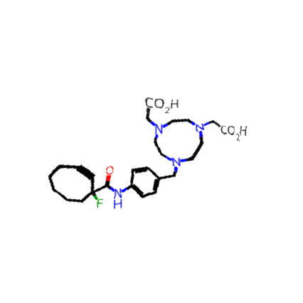 O=C(O)CN1CCN(CC(=O)O)CCN(Cc2ccc(NC(=O)C3(F)C#CCCCCC3)cc2)CC1